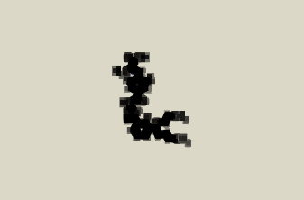 CCCCC(OCCC)c1cccc(-c2csc(NC(=O)c3cc(F)c(/C=C(\C)C(=O)O)c(F)c3)n2)c1F